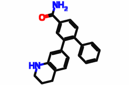 NC(=O)c1ccc(-c2ccccc2)c(-c2ccc3c(c2)NCCC3)c1